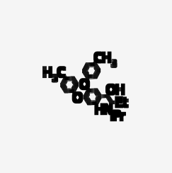 CCC(NC(C)C)C(O)c1ccc(Oc2ccc(C)cc2)c(Oc2ccc(C)cc2)c1